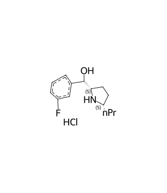 CCC[C@H]1CC[C@@H](C(O)c2cccc(F)c2)N1.Cl